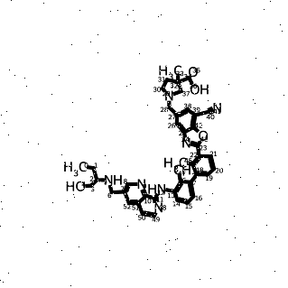 CCC(CO)NCc1cnc2c(Nc3cccc(-c4cccc(-c5nc6cc(CN7CCC(C)(C(=O)O)C7)cc(C#N)c6o5)c4C)c3C)nccc2c1